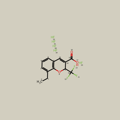 CCc1cccc2c1OC(C(F)(F)F)C(C(=O)O)=C2.F.F.F.F.F